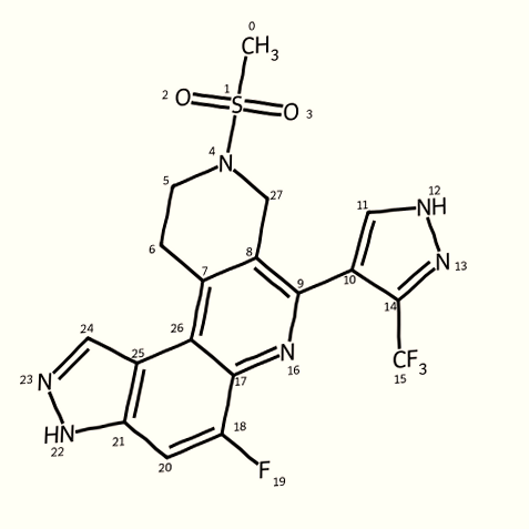 CS(=O)(=O)N1CCc2c(c(-c3c[nH]nc3C(F)(F)F)nc3c(F)cc4[nH]ncc4c23)C1